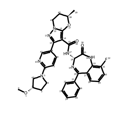 CO[C@H]1CCN(c2ccc(-c3nn4c(c3C(=O)N[C@H]3N=C(c5ccccc5)c5cccc(F)c5NC3=O)O[C@H](C)CC4)cn2)C1